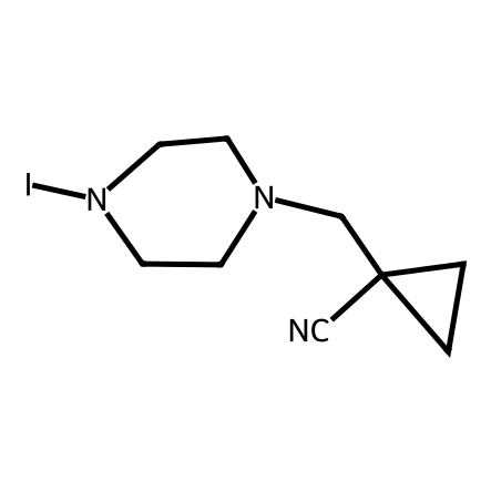 N#CC1(CN2CCN(I)CC2)CC1